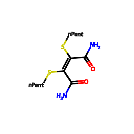 CCCCCS/C(C(N)=O)=C(\SCCCCC)C(N)=O